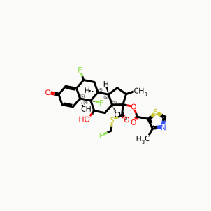 Cc1ncsc1C(=O)OC1(C(=O)SCF)C(C)C[C@H]2[C@@H]3CC(F)C4=CC(=O)C=C[C@]4(C)[C@@]3(F)C(O)C[C@@]21C